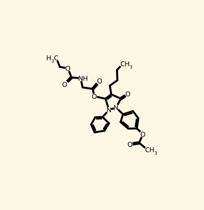 CCCCc1c(OC(=O)CNC(=O)OCC)n(-c2ccccc2)n(-c2ccc(OC(C)=O)cc2)c1=O